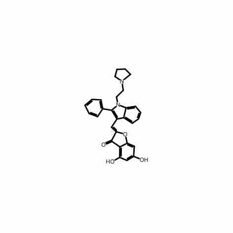 O=C1/C(=C/c2c(-c3ccccc3)n(CCN3CCCC3)c3ccccc23)Oc2cc(O)cc(O)c21